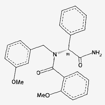 COc1cccc(CN(C(=O)c2ccccc2OC)[C@@H](C(N)=O)c2ccccc2)c1